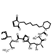 CC[C@H](C)[C@H](NC(=O)[C@H]1CCCCN1CCCCCCN1C(=O)C=CC1=O)C(=O)N(C)[C@H](C[C@@H](O)c1nc(C(=O)N[C@@H](Cc2ccccc2)C[C@H](C)C(=O)O)cs1)C(C)C